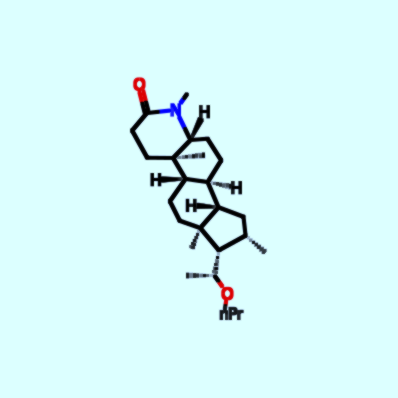 CCCO[C@H](C)[C@H]1[C@@H](C)C[C@H]2[C@@H]3CC[C@H]4N(C)C(=O)CC[C@]4(C)[C@H]3CC[C@]12C